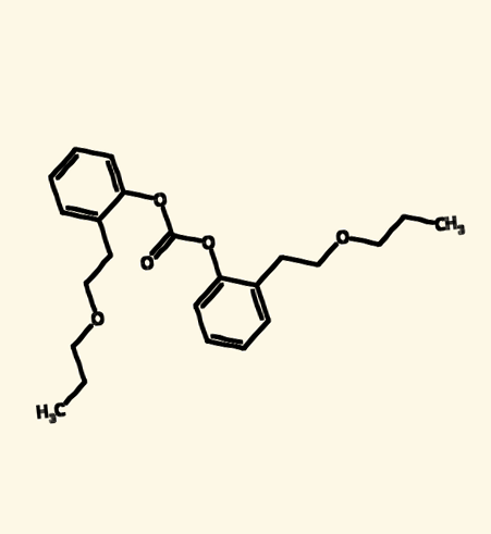 CCCOCCc1ccccc1OC(=O)Oc1ccccc1CCOCCC